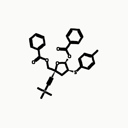 Cc1ccc(S[C@@H]2C[C@@](C#C[Si](C)(C)C)(COC(=O)c3ccccc3)O[C@@H]2OC(=O)c2ccccc2)cc1